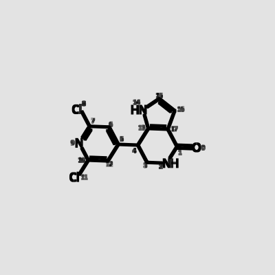 O=C1NCC(c2cc(Cl)nc(Cl)c2)c2[nH]ccc21